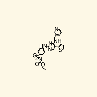 CCOC(=O)N=S(C)(=O)c1ccc(Nc2ncc(-c3cccs3)c(NCc3cccnc3)n2)cc1